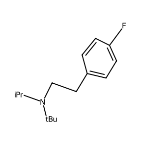 CC(C)N(CCc1ccc(F)cc1)C(C)(C)C